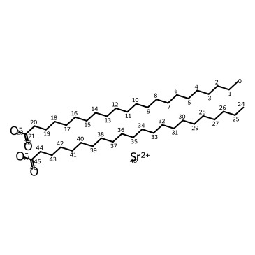 CCCCCCCCCCCCCCCCCCCCCC(=O)[O-].CCCCCCCCCCCCCCCCCCCCCC(=O)[O-].[Sr+2]